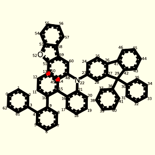 c1ccc(-c2ccccc2-c2ccccc2-c2ccccc2N(c2ccc3c(c2)C(c2ccccc2)(c2ccccc2)c2ccccc2-3)c2ccc3oc4ccccc4c3c2)cc1